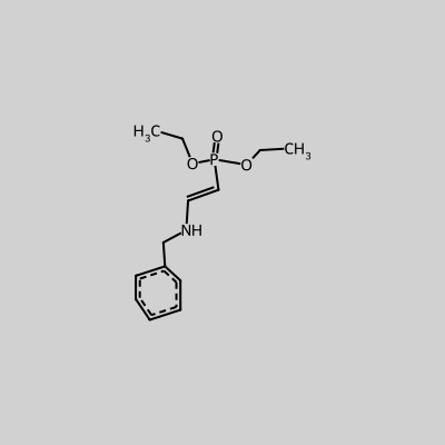 CCOP(=O)(C=CNCc1ccccc1)OCC